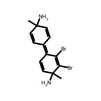 CC1(N)C=CC(=C2C=CC(C)(N)C(Br)=C2Br)C=C1